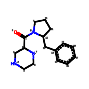 O=C(C1CNCC[N]1)N1CCCC1Cc1ccccc1